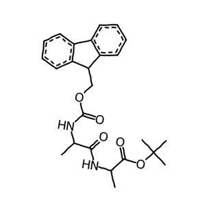 CC(NC(=O)OCC1c2ccccc2-c2ccccc21)C(=O)NC(C)C(=O)OC(C)(C)C